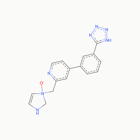 [O-][N+]1(Cc2cc(-c3cccc(-c4nnn[nH]4)c3)ccn2)C=CNC1